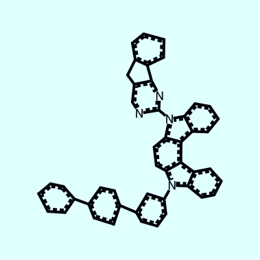 c1ccc(-c2ccc(-c3cccc(-n4c5ccccc5c5c6c7ccccc7n(-c7ncc8c(n7)-c7ccccc7C8)c6ccc54)c3)cc2)cc1